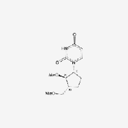 COC[C@H]1CC[C@@H](n2ccc(=O)[nH]c2=O)[C@@H]1OC